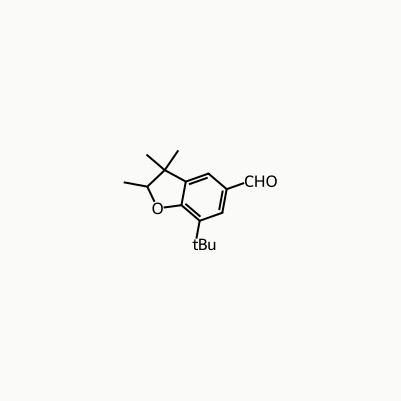 CC1Oc2c(C(C)(C)C)cc(C=O)cc2C1(C)C